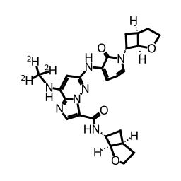 [2H]C([2H])([2H])Nc1cc(Nc2cccn([C@@H]3C[C@H]4CCO[C@H]43)c2=O)nn2c(C(=O)N[C@@H]3C[C@H]4CCO[C@H]43)cnc12